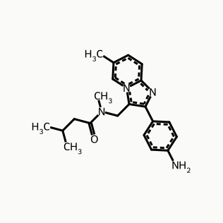 Cc1ccc2nc(-c3ccc(N)cc3)c(CN(C)C(=O)CC(C)C)n2c1